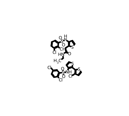 CCNC(=O)Cc1sccc1NS(=O)(=O)c1cccc(Cl)c1C.O=S(=O)(Nc1ccsc1-c1sccc1Cl)c1cc(Cl)ccc1Cl